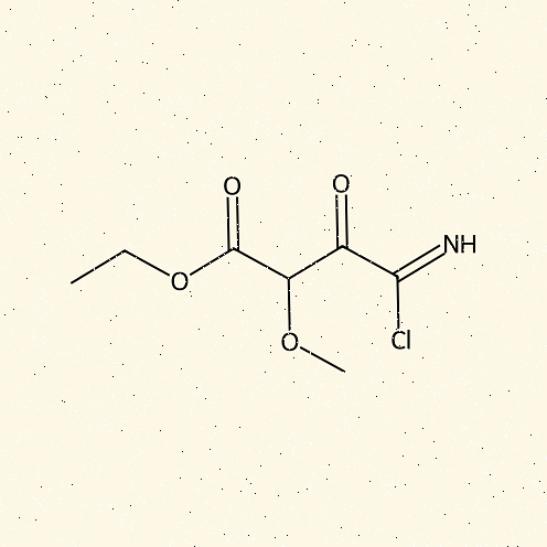 CCOC(=O)C(OC)C(=O)C(=N)Cl